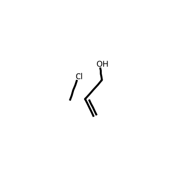 C=CCO.CCl